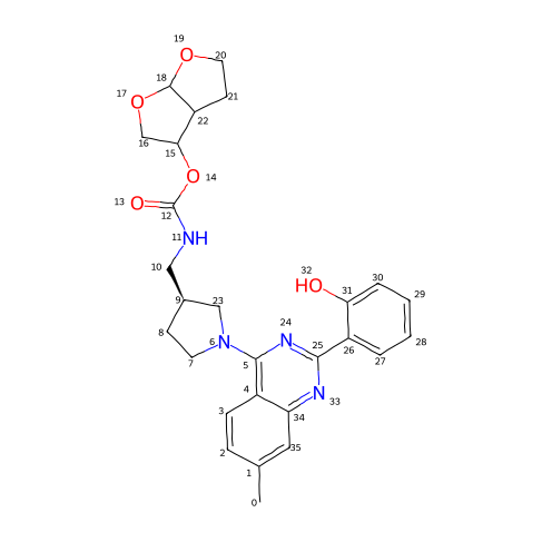 Cc1ccc2c(N3CC[C@@H](CNC(=O)OC4COC5OCCC45)C3)nc(-c3ccccc3O)nc2c1